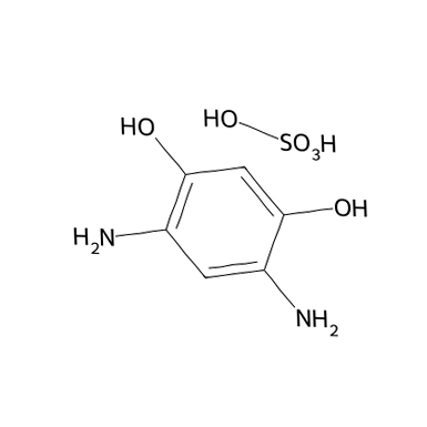 Nc1cc(N)c(O)cc1O.O=S(=O)(O)O